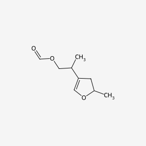 CC1CC(C(C)COC=O)=CO1